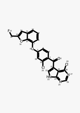 O=C(c1ccc(Oc2cccc3cc(CF)oc23)cc1Cl)c1c[nH]c2ncnc(Cl)c12